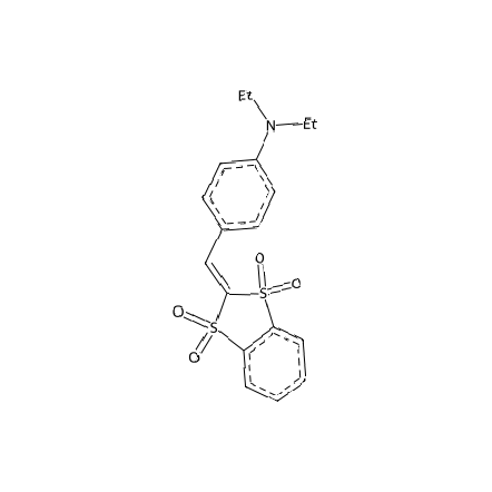 CCN(CC)c1ccc(C=C2S(=O)(=O)c3ccccc3S2(=O)=O)cc1